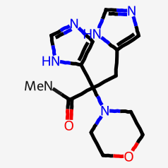 CNC(=O)C(Cc1cnc[nH]1)(c1cnc[nH]1)N1CCOCC1